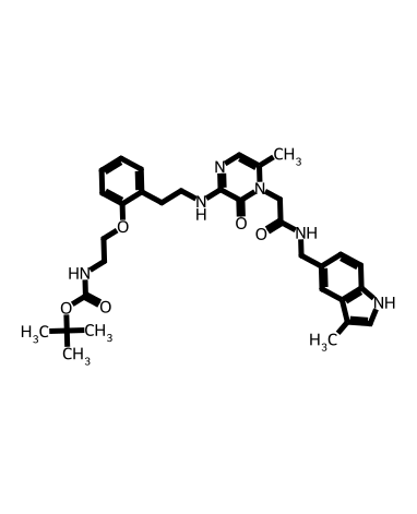 Cc1c[nH]c2ccc(CNC(=O)Cn3c(C)cnc(NCCc4ccccc4OCCNC(=O)OC(C)(C)C)c3=O)cc12